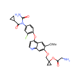 COc1cc2c(Oc3ccc(N(C(N)=O)C(=O)C4CC4)cc3F)ccnc2cc1OCC1(OC(=O)CN)CC1